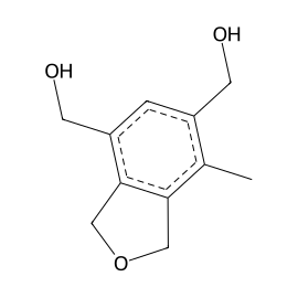 Cc1c(CO)cc(CO)c2c1COC2